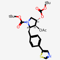 CC(=O)O[C@@H]1[C@@H](OC(=O)OC(C)(C)C)CN(C(=O)OC(C)(C)C)[C@@H]1Cc1ccc(-c2cncs2)cc1